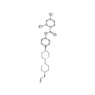 C=CC[C@H]1CC[C@H]([C@H]2CC[C@H](c3ccc(OC(=O)c4ccc(Cl)cc4Cl)cc3)CC2)CC1